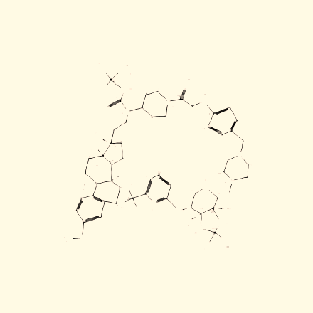 COc1ccc2c(c1)CC[C@@H]1[C@@H]2CC[C@@]2(C)[C@H]1CC[C@@]2(O)CCN(C(=O)OC(C)(C)C)C1CCN(C(=O)COc2ccc(CN3CCN(C[C@H]4OC[C@H](Oc5cccc(C(F)(F)F)n5)[C@H]5OC(C)(C)O[C@H]54)CC3)cc2)CC1